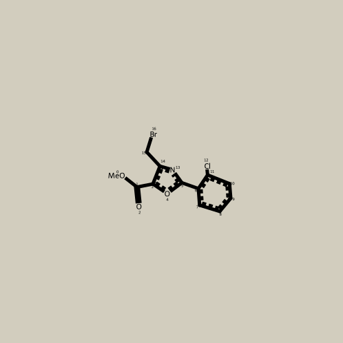 COC(=O)c1oc(-c2ccccc2Cl)nc1CBr